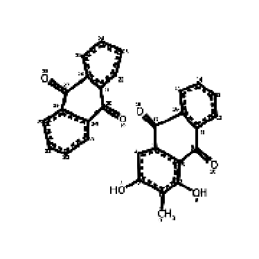 Cc1c(O)cc2c(c1O)C(=O)c1ccccc1C2=O.O=C1c2ccccc2C(=O)c2ccccc21